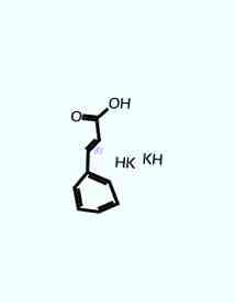 O=C(O)/C=C/c1ccccc1.[KH].[KH]